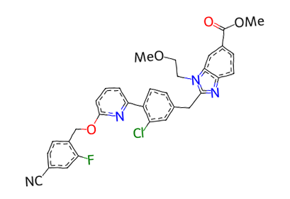 COCCn1c(Cc2ccc(-c3cccc(OCc4ccc(C#N)cc4F)n3)c(Cl)c2)nc2ccc(C(=O)OC)cc21